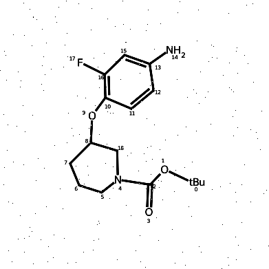 CC(C)(C)OC(=O)N1CCCC(Oc2ccc(N)cc2F)C1